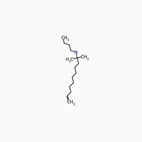 C=CCCCCCCCC(C)(C)[N]CCCC